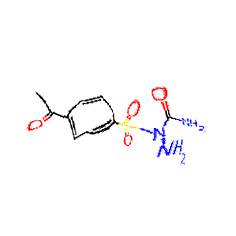 CC(=O)c1ccc(S(=O)(=O)N(N)C(N)=O)cc1